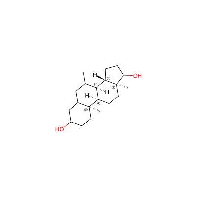 CC1CC2CC(O)CC[C@]2(C)[C@@H]2CC[C@]3(C)C(O)CC[C@H]3[C@H]12